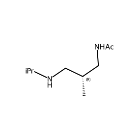 CC(=O)NC[C@H](C)CNC(C)C